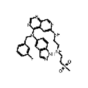 CS(=O)(=O)CCNCCNc1cc2c(N(Cc3cccc(F)c3)c3ccc4[nH]ncc4c3)ncnc2cn1